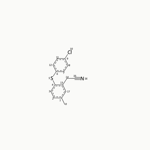 Cc1ccc(Sc2ccc(Cl)cc2)c(CC#N)c1